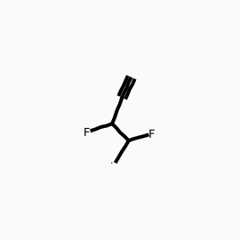 C#CC(F)C([CH2])F